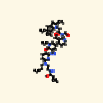 C=CC(=O)NCCN(CCC)c1cccc(Nc2cc(-c3ccnc(N(C=O)CCn4c(C)cc5c4CC(C)(C)C5)c3CO)cn(C)c2=O)n1